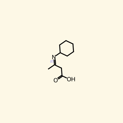 C/C(CC(=O)O)=N/C1CCCCC1